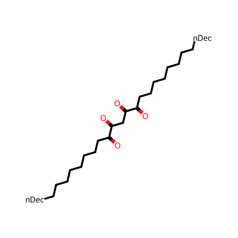 CCCCCCCCCCCCCCCCCCC(=O)C(=O)CC(=O)C(=O)CCCCCCCCCCCCCCCCCC